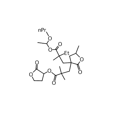 CCCOC(C)OC(=O)C(C)(CC)CC1(CC(C)(C)C(=O)OC2CCOC2=O)CC(C)OC1=O